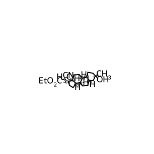 CCOC(=O)C(C#N)[C@H]1CC[C@H]2[C@@H]3CC[C@@H]4C[C@](C)(O)CC[C@@H]4[C@H]3CC[C@]12C